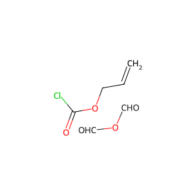 C=CCOC(=O)Cl.O=COC=O